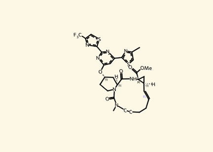 COC(=O)[C@@]12C[C@H]1/C=C/CCCCN(C)C(=O)N1CC[C@H](Oc3cc(-c4nc(C)cs4)nc(-c4nc(C(F)(F)F)cs4)n3)C[C@H]1C(=O)N2